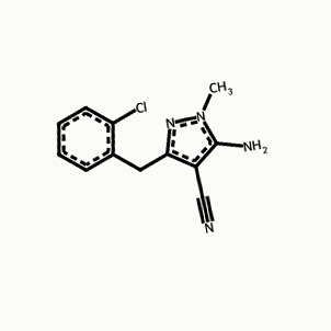 Cn1nc(Cc2ccccc2Cl)c(C#N)c1N